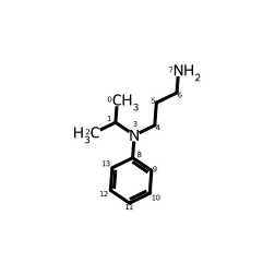 CC(C)N(CCCN)c1ccccc1